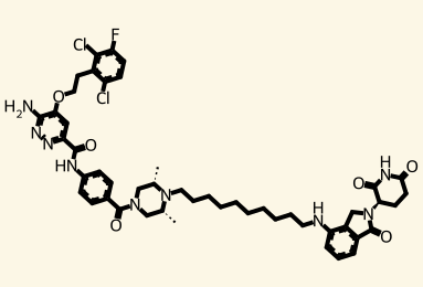 C[C@@H]1CN(C(=O)c2ccc(NC(=O)c3cc(OCCc4c(Cl)ccc(F)c4Cl)c(N)nn3)cc2)C[C@H](C)N1CCCCCCCCCCNc1cccc2c1CN([C@@H]1CCC(=O)NC1=O)C2=O